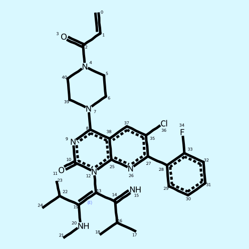 C=CC(=O)N1CCN(c2nc(=O)n(/C(C(=N)C(C)C)=C(/NC)C(C)C)c3nc(-c4ccccc4F)c(Cl)cc23)CC1